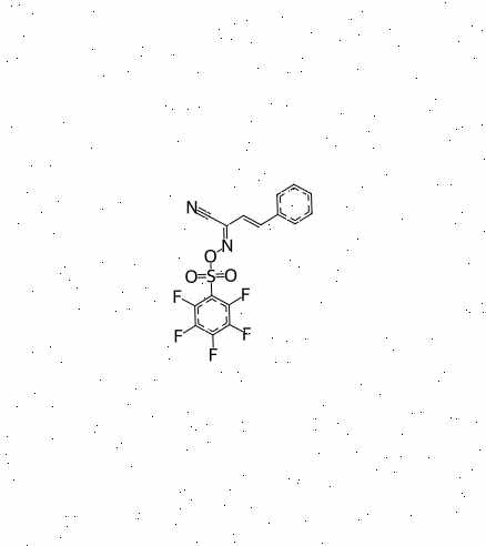 N#CC(C=Cc1ccccc1)=NOS(=O)(=O)c1c(F)c(F)c(F)c(F)c1F